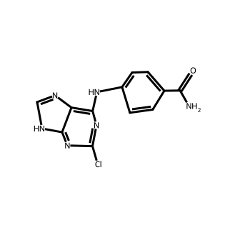 NC(=O)c1ccc(Nc2nc(Cl)nc3[nH]cnc23)cc1